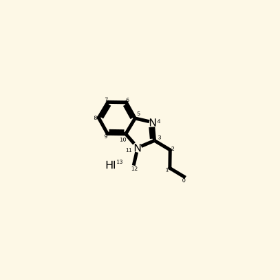 CCCc1nc2ccccc2n1C.I